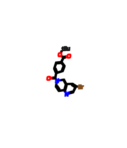 CC(C)(C)OC(=O)c1ccc(C(=O)N2C=Cc3ncc(Br)cc3C2)cc1